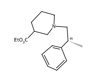 CCOC(=O)C1CCCN(C[C@H](C)c2ccccc2)C1